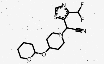 N#CC(c1scnc1C(F)F)N1CCC(OC2CCCCO2)CC1